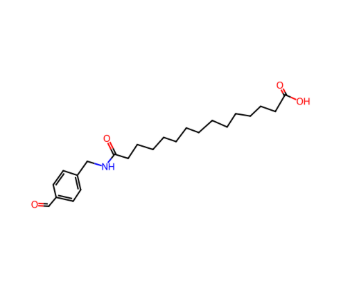 O=Cc1ccc(CNC(=O)CCCCCCCCCCCCCC(=O)O)cc1